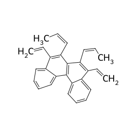 C=Cc1c(/C=C\C)c2c(/C=C\C)c(C=C)c3ccccc3c2c2ccccc12